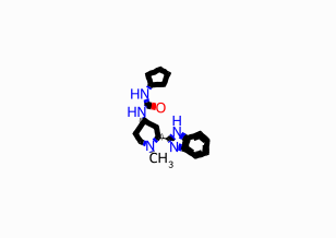 CN1CC[C@@H](NC(=O)NC2CCCC2)C[C@@H]1c1nc2ccccc2[nH]1